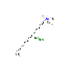 Br.CCCCCCCCCCCCCCCC[N+](C)(C)C.Cl